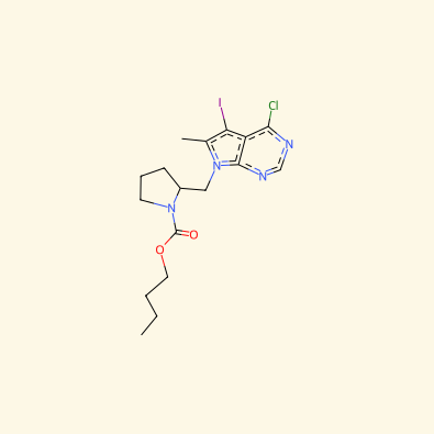 CCCCOC(=O)N1CCCC1Cn1c(C)c(I)c2c(Cl)ncnc21